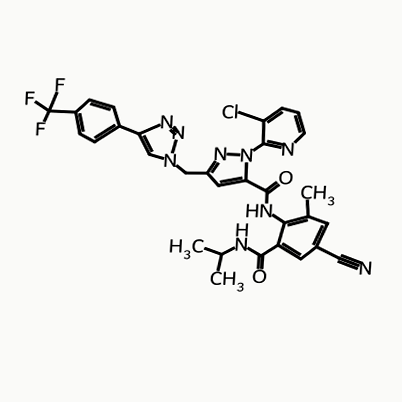 Cc1cc(C#N)cc(C(=O)NC(C)C)c1NC(=O)c1cc(Cn2cc(-c3ccc(C(F)(F)F)cc3)nn2)nn1-c1ncccc1Cl